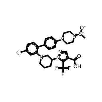 C[S+]([O-])N1CCN(c2ccc(-c3ccc(Cl)cc3N3CCCC(n4ncc(C(=O)O)c4C(F)(F)F)C3)cc2)CC1